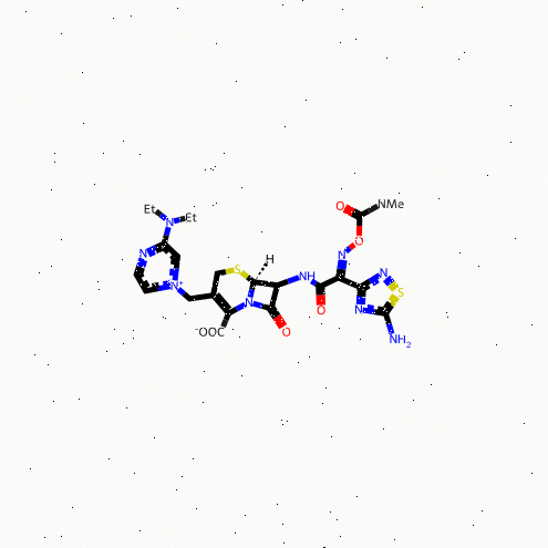 CCN(CC)c1c[n+](CC2=C(C(=O)[O-])N3C(=O)C(NC(=O)C(=NOC(=O)NC)c4nsc(N)n4)[C@@H]3SC2)ccn1